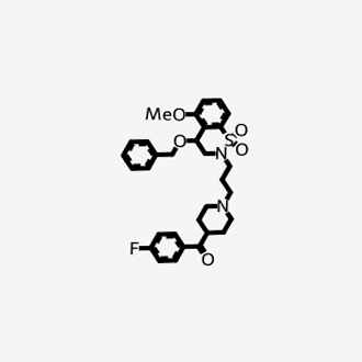 COc1cccc2c1C(OCc1ccccc1)CN(CCCN1CCC(C(=O)c3ccc(F)cc3)CC1)S2(=O)=O